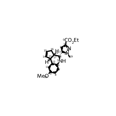 CCOC(=O)c1cc([C@@H]2Nc3ccc(OC)cc3[C@@H]3C=CC[C@@H]32)n(C)n1